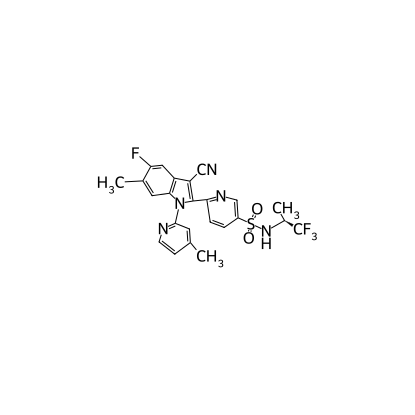 Cc1ccnc(-n2c(-c3ccc(S(=O)(=O)N[C@@H](C)C(F)(F)F)cn3)c(C#N)c3cc(F)c(C)cc32)c1